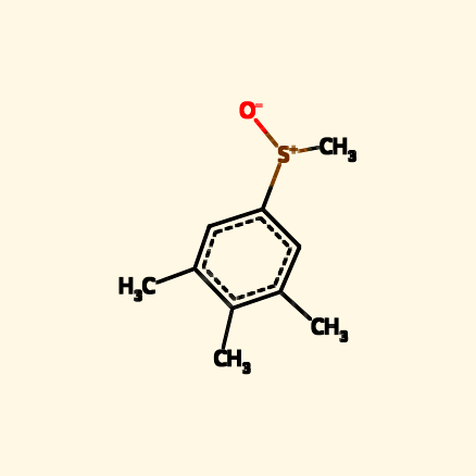 Cc1cc([S+](C)[O-])cc(C)c1C